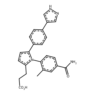 Cc1cc(C(N)=O)ccc1-n1c(CCC(=O)O)ccc1-c1ccc(-c2cn[nH]c2)cc1